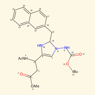 COC(=O)CC(NC(C)=O)C1=CN(NC(=O)OC(C)(C)C)C(Cc2ccc3ccccc3c2)N1